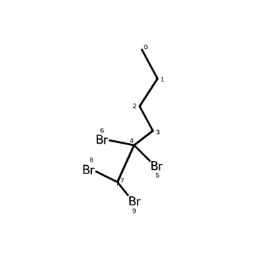 CCCCC(Br)(Br)[C](Br)Br